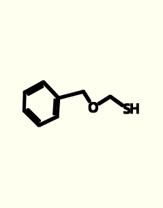 SCOCc1ccccc1